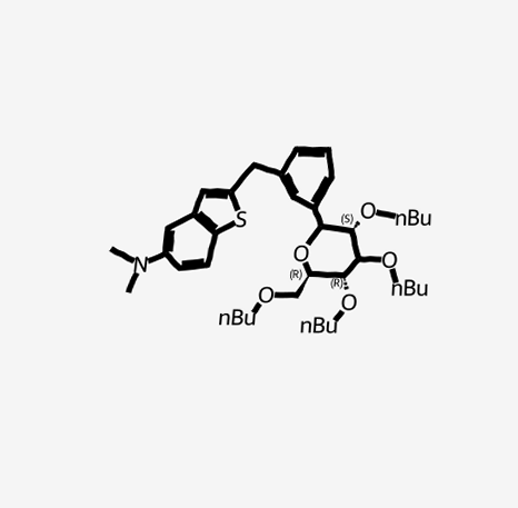 CCCCOC[C@H]1OC(c2cccc(Cc3cc4cc(N(C)C)ccc4s3)c2)[C@H](OCCCC)C(OCCCC)[C@@H]1OCCCC